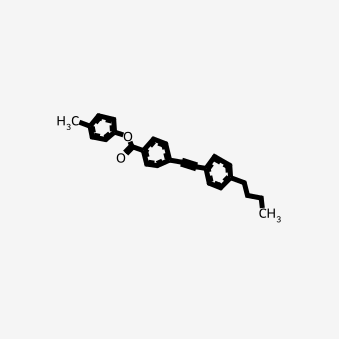 CCCCc1ccc(C#Cc2ccc(C(=O)Oc3ccc(C)cc3)cc2)cc1